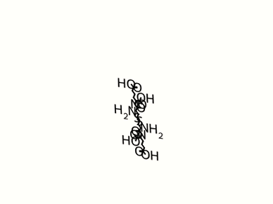 NC(CSSCC(N)C(=O)N=C(CCCC(=O)O)C(=O)O)C(=O)N=C(CCCC(=O)O)C(=O)O